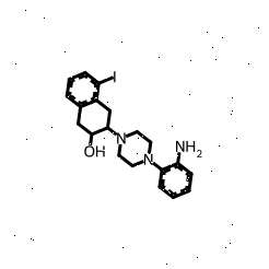 Nc1ccccc1N1CCN(C2Cc3c(I)cccc3CC2O)CC1